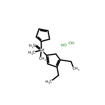 CCC1=C(CC)C[C]([Hf]([CH3])([CH3])(=[SiH2])[C]2=CC=CC2)=C1.Cl.Cl